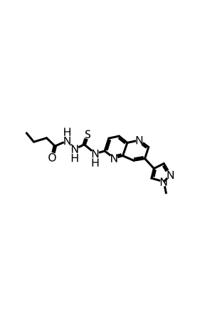 CCCC(=O)NNC(=S)Nc1ccc2ncc(-c3cnn(C)c3)cc2n1